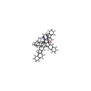 CC1C/C=C(c2cccc3ccccc23)/N=C(c2cccc3c2oc2ccccc23)\N=C/1c1cc2oc3c4ccccc4ccc3c2cc1-n1c2cc3ccccc3cc2c2cc3ccccc3cc21